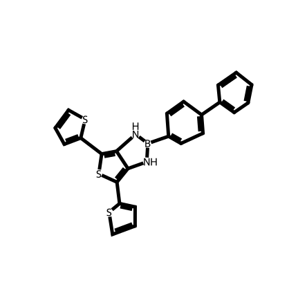 c1ccc(-c2ccc(B3Nc4c(-c5cccs5)sc(-c5cccs5)c4N3)cc2)cc1